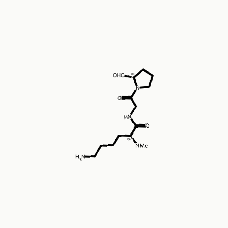 CN[C@@H](CCCCN)C(=O)NCC(=O)N1CCC[C@@H]1C=O